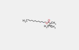 CCCCCCCCCCCCOC(=O)C(C)[As](C)C